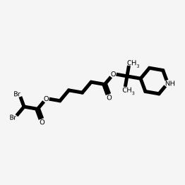 CC(C)(OC(=O)CCCCOC(=O)C(Br)Br)C1CCNCC1